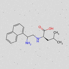 CC(C)C[C@@H](NCC(N)c1cccc2ccccc12)C(=O)O